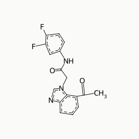 CC(=O)c1cccc2ncn(CC(=O)Nc3ccc(F)c(F)c3)c12